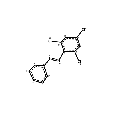 Clc1cc(Cl)c(N=Nc2ccccc2)c(Cl)c1